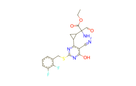 CCOC(=O)C(N)(C=O)C1CC1c1nc(SCc2cccc(F)c2F)nc(O)c1C#N